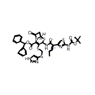 CC/C=C(\C(=O)NC1S[C@@H]2CC(=O)N2C(C(=O)OC(c2ccccc2)c2ccccc2)=C1SCSc1c[nH]nn1)c1csc(NC(=O)OC(C)(C)C)n1